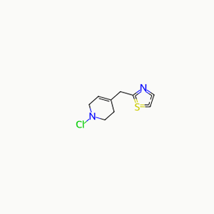 ClN1CC=C(Cc2nccs2)CC1